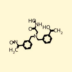 C=C(O)c1cccc(CN(CC(=O)NO)Cc2cccc(C(=C)N=O)c2)c1